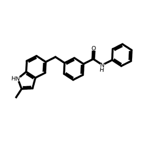 Cc1cc2cc(Cc3cccc(C(=O)Nc4ccccc4)c3)ccc2[nH]1